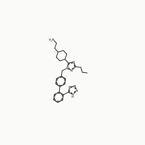 CCCc1nc(C2CCC(CCN)CC2)n(Cc2ccc(-c3ccccc3-c3nnn[nH]3)cc2)n1